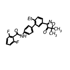 CCc1ccc(C2=NOC(C)(C)C2=O)cc1-c1ccc(NC(=O)c2c(F)cccc2F)cc1